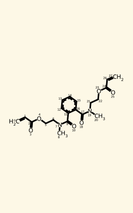 C=CC(=O)OCCN(C)C(=O)c1ccccc1C(=O)N(C)CCOC(=O)C=C